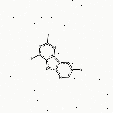 Cc1nc(Cl)c2oc3ncc(Br)cc3c2n1